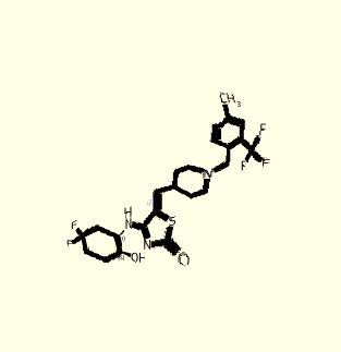 Cc1ccc(CN2CCC(/C=C3\SC(=O)N=C3N[C@H]3CC(F)(F)CC[C@@H]3O)CC2)c(C(F)(F)F)c1